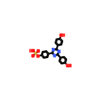 O=S(=O)(O)Oc1ccc(-c2nc(-c3ccc(O)cc3)nc(-c3ccc(O)cc3)n2)cc1